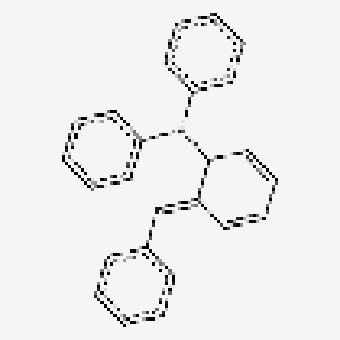 C1=CC(=Cc2ccccc2)C(P(c2ccccc2)c2ccccc2)C=C1